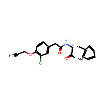 C#CCOc1ccc(CC(=O)N[C@H](Cc2ccccc2)C(=O)OC)cc1Cl